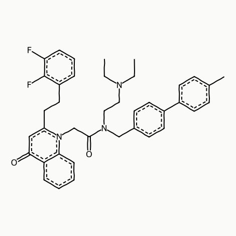 CCN(CC)CCN(Cc1ccc(-c2ccc(C)cc2)cc1)C(=O)Cn1c(CCc2cccc(F)c2F)cc(=O)c2ccccc21